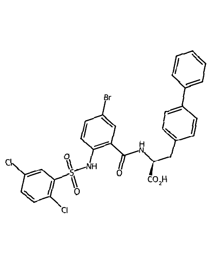 O=C(N[C@@H](Cc1ccc(-c2ccccc2)cc1)C(=O)O)c1cc(Br)ccc1NS(=O)(=O)c1cc(Cl)ccc1Cl